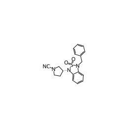 N#CN1CC[C@@H](N2c3ccccc3N(Cc3ccccc3)S2(=O)=O)C1